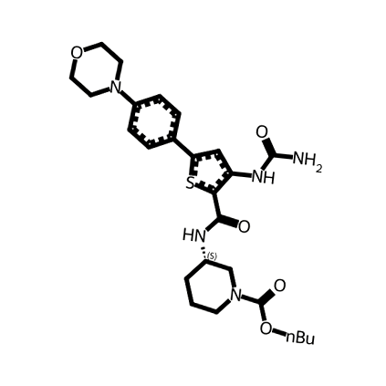 CCCCOC(=O)N1CCC[C@H](NC(=O)c2sc(-c3ccc(N4CCOCC4)cc3)cc2NC(N)=O)C1